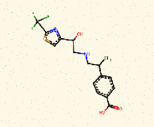 CC(CNCC(O)c1csc(C(F)(F)F)n1)c1ccc(C(=O)O)cc1